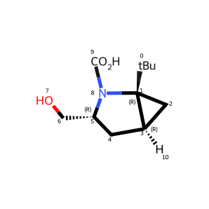 CC(C)(C)[C@@]12C[C@H]1C[C@H](CO)N2C(=O)O